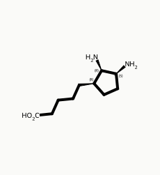 N[C@@H]1[C@H](CCCCC(=O)O)CC[C@@H]1N